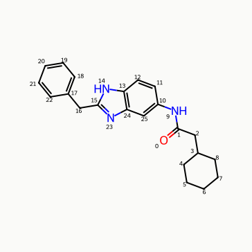 O=C(CC1CCCCC1)Nc1ccc2[nH]c(Cc3ccccc3)nc2c1